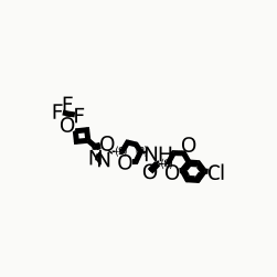 O=C1C[C@@H](C(=O)N[C@@H]2CC[C@@H](c3nnc(C4CC(OC(F)(F)F)C4)o3)OC2)Oc2ccc(Cl)cc21